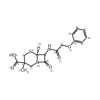 CC1(C(=O)O)CS[C@@H]2C(NC(=O)COc3ccccc3)C(=O)N2C1